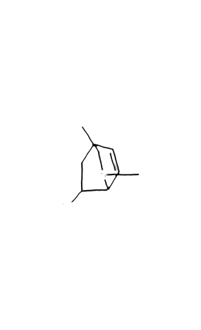 CC(=O)C1CC2(C)C=CC1N(C)C2